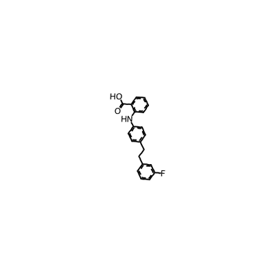 O=C(O)c1ccccc1Nc1ccc(CCc2cccc(F)c2)cc1